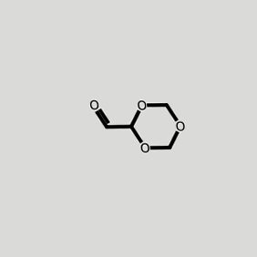 O=CC1OCOCO1